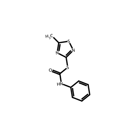 Cc1nc(SC(=O)Nc2ccccc2)ns1